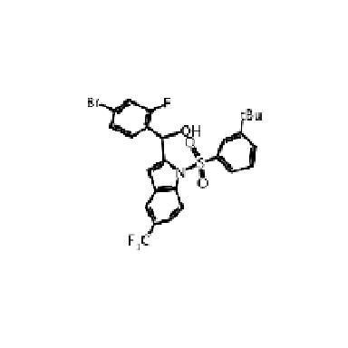 CC(C)(C)c1cccc(S(=O)(=O)n2c(C(O)c3ccc(Br)cc3F)cc3cc(C(F)(F)F)ccc32)c1